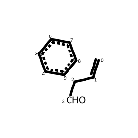 C=CCC=O.c1ccccc1